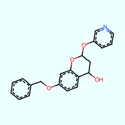 OC1CC(Oc2cccnc2)Oc2cc(OCc3ccccc3)ccc21